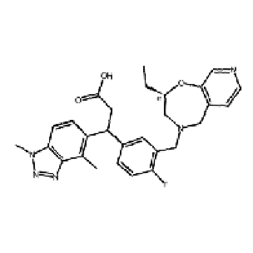 CC[C@@H]1CN(Cc2cc(C(CC(=O)O)c3ccc4c(nnn4C)c3C)ccc2F)Cc2ccncc2O1